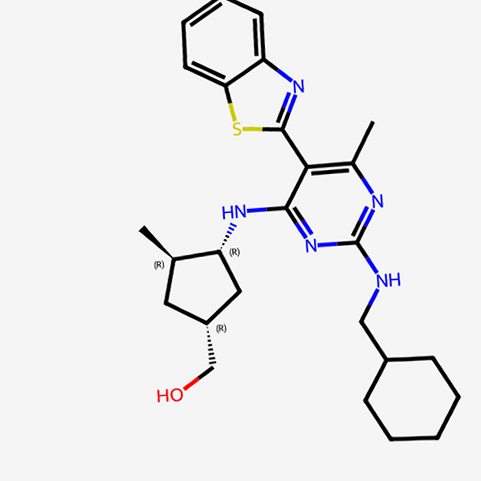 Cc1nc(NCC2CCCCC2)nc(N[C@@H]2C[C@H](CO)C[C@H]2C)c1-c1nc2ccccc2s1